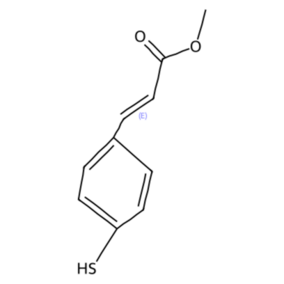 COC(=O)/C=C/c1ccc(S)cc1